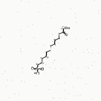 COC(=O)CCCCCCCCCCCS(Cl)(Cl)Cl